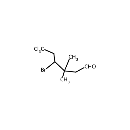 CC(C)(CC=O)C(Br)CC(Cl)(Cl)Cl